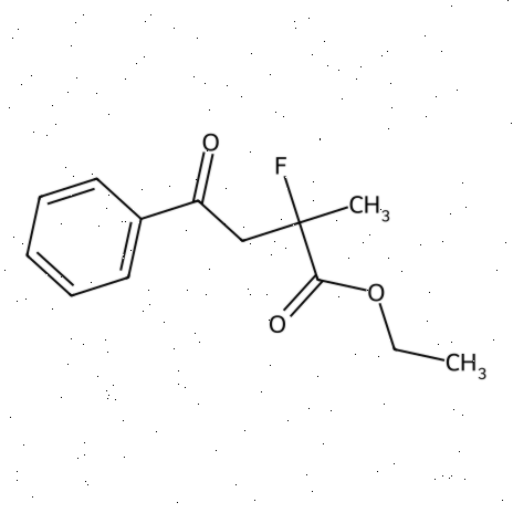 CCOC(=O)C(C)(F)CC(=O)c1ccccc1